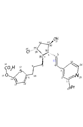 CCCc1cc(/C=C/[C@@H]2[C@@H](CCCc3ccc(OC(=O)O)s3)[C@H](Cl)C[C@H]2O)ccn1